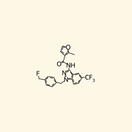 Cc1occc1C(=O)Nc1nn(Cc2ccc(CF)cc2)c2ccc(C(F)(F)F)cc12